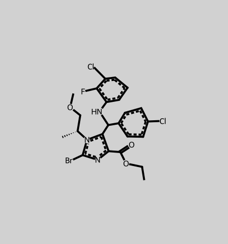 CCOC(=O)c1nc(Br)n([C@H](C)COC)c1C(Nc1cccc(Cl)c1F)c1ccc(Cl)cc1